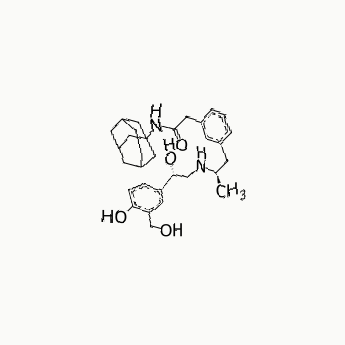 C[C@H](Cc1cccc(CC(=O)NC23CC4CC(CC(C4)C2)C3)c1)NC[C@@H](O)c1ccc(O)c(CO)c1